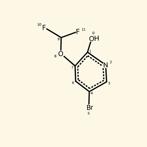 Oc1ncc(Br)cc1OC(F)F